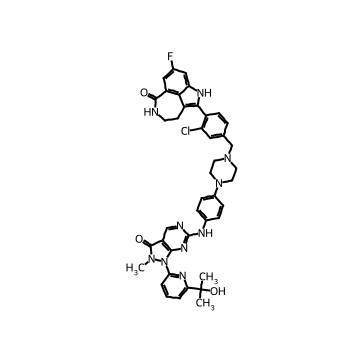 Cn1c(=O)c2cnc(Nc3ccc(N4CCN(Cc5ccc(-c6[nH]c7cc(F)cc8c7c6CCNC8=O)c(Cl)c5)CC4)cc3)nc2n1-c1cccc(C(C)(C)O)n1